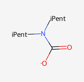 CCCC(C)N(C([O])=O)C(C)CCC